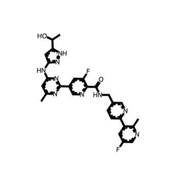 Cc1cc(Nc2cc(C(C)O)[nH]n2)nc(-c2cnc(C(=O)NCc3ccc(-c4cc(F)cnc4C)nc3)c(F)c2)n1